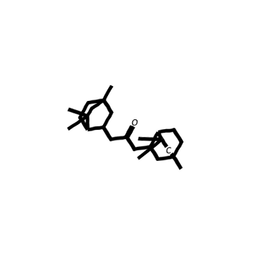 CC12CCC(C(CC(=O)CC3CC4(C)CCC3C(C)(C)C4)C1)C(C)(C)C2